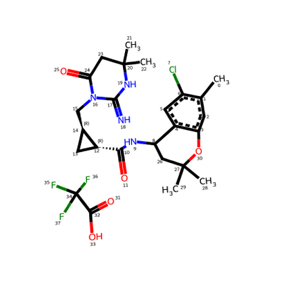 Cc1cc2c(cc1Cl)C(NC(=O)[C@@H]1C[C@H]1CN1C(=N)NC(C)(C)CC1=O)CC(C)(C)O2.O=C(O)C(F)(F)F